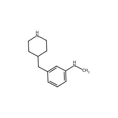 CNc1cccc(CC2CCNCC2)c1